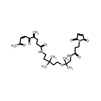 C=C(CCC(=O)NCCC(C)(C)CCOC(C)(C)CNC(=O)CCN1C(=O)C=CC1=O)C(=O)/C=C\C(C)=O